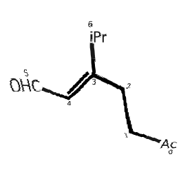 CC(=O)CCC(=CC=O)C(C)C